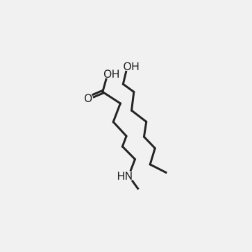 CCCCCCCCO.CNCCCCCC(=O)O